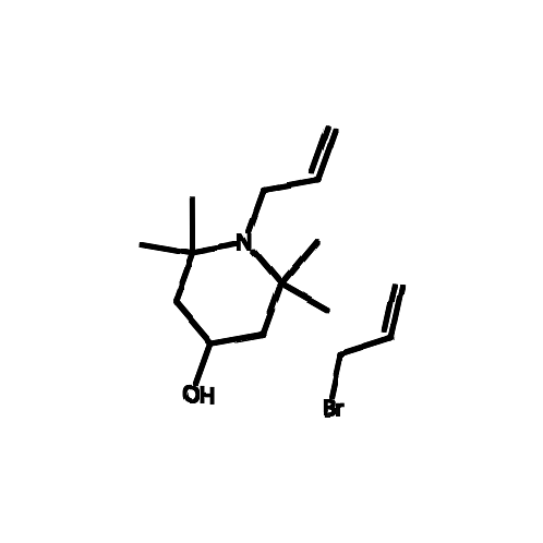 C=CCBr.C=CCN1C(C)(C)CC(O)CC1(C)C